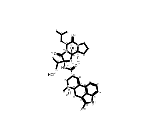 CC(C)C[C@H]1C(=O)N2CCC[C@H]2[C@]2(O)O[C@](NC(=O)[C@@H]3C=C4c5cccc6[nH]c(Br)c(c56)C[C@H]4N(C)C3)(C(C)C)C(=O)N12.Cl